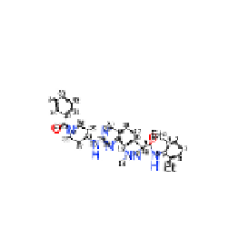 CCc1cccc(CC)c1NC(=O)c1nn(C)c2c1CCc1cnc(NC3CCN(C(=O)c4ccccc4)CC3)nc1-2